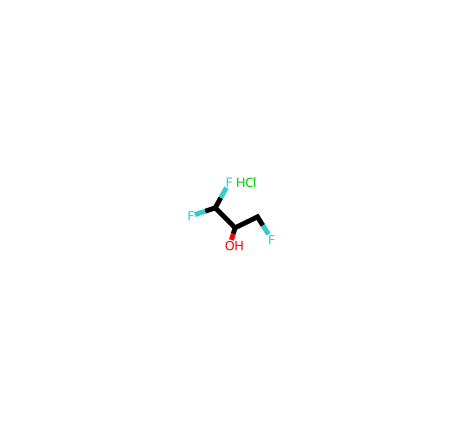 Cl.OC(CF)C(F)F